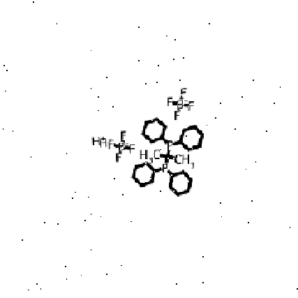 CC(C)(P(C1CCCCC1)C1CCCCC1)P(C1CCCCC1)C1CCCCC1.F[B-](F)(F)F.F[B-](F)(F)F.[H+].[H+]